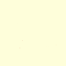 CCCOP(O)(=S)SCCOCC.[K]